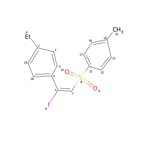 CCc1ccc(/C(I)=C\S(=O)(=O)c2ccc(C)cc2)cc1